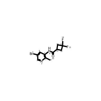 Cc1ncc(Br)cc1NC(=O)C1CC(F)(F)C1